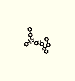 c1ccc(-c2ccc(-c3nc(-c4ccccc4)nc(-c4ccc5c(c4)oc4ccc(-c6nc7ccccn7c6-c6cccc(-c7ccccc7)c6)cc45)n3)cc2)cc1